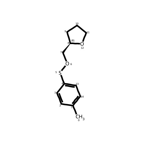 Cc1ccc(SOC[C@H]2CCCO2)cc1